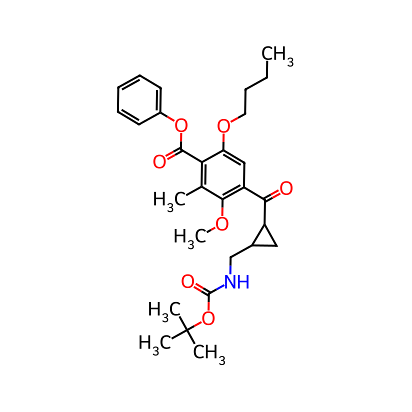 CCCCOc1cc(C(=O)C2CC2CNC(=O)OC(C)(C)C)c(OC)c(C)c1C(=O)Oc1ccccc1